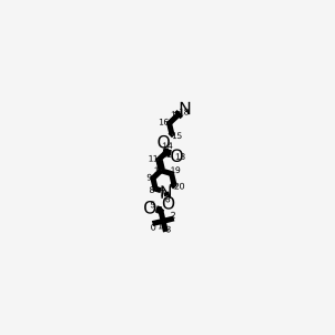 CC(C)(C)C(=O)ON1CCC(=CC(=O)OCCC#N)CC1